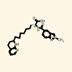 Cn1cc2cc(C(=O)N[C@H](CCCCCCCC3CCc4cccnc4N3)C(=O)O)ccc2n1